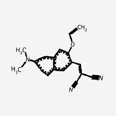 C=COc1cc2cc(N(C)C)ccc2cc1C=C(C#N)C#N